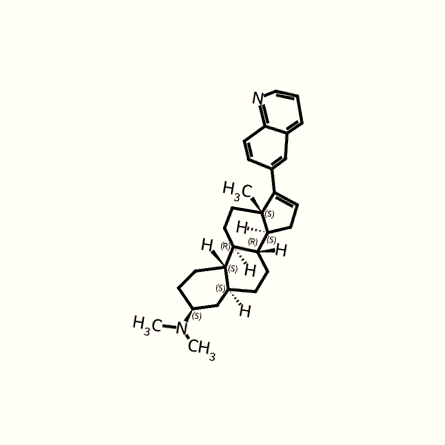 CN(C)[C@H]1CC[C@H]2[C@@H](CC[C@@H]3[C@@H]2CC[C@]2(C)C(c4ccc5ncccc5c4)=CC[C@@H]32)C1